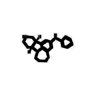 c1ccc(Nc2cc3c4c(c2)[C@@H]2CNCC[C@@H]2N4CCCS3)cc1